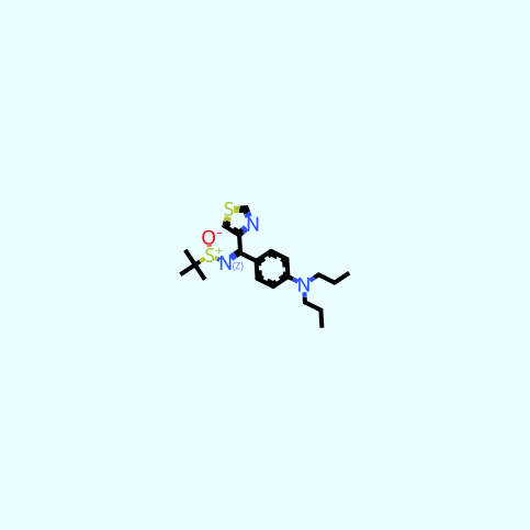 CCCN(CCC)c1ccc(/C(=N/[S+]([O-])C(C)(C)C)c2cscn2)cc1